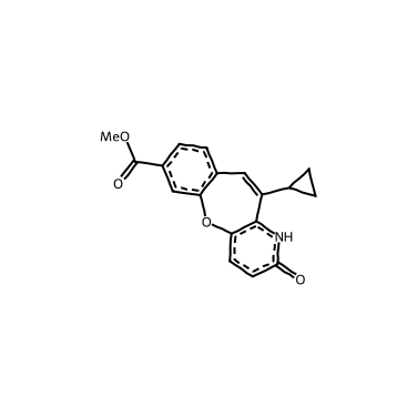 COC(=O)c1ccc2c(c1)Oc1ccc(=O)[nH]c1C(C1CC1)=C2